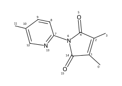 CC1=C(C)C(=O)N(c2ccc(C)cn2)C1=O